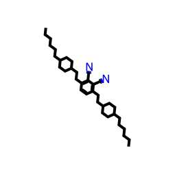 CCCCCCC1CCC(CCc2ccc(CCC3CCC(CCCCCC)CC3)c(C#N)c2C#N)CC1